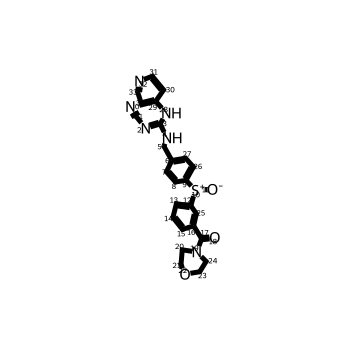 N#CN=C(NCc1ccc([S+]([O-])c2cccc(C(=O)N3CCOCC3)c2)cc1)Nc1ccncc1